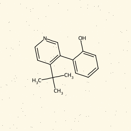 CC(C)(C)c1ccncc1-c1ccccc1O